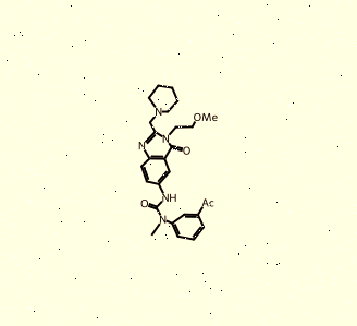 COCCn1c(CN2CCCCC2)nc2ccc(NC(=O)N(C)c3cccc(C(C)=O)c3)cc2c1=O